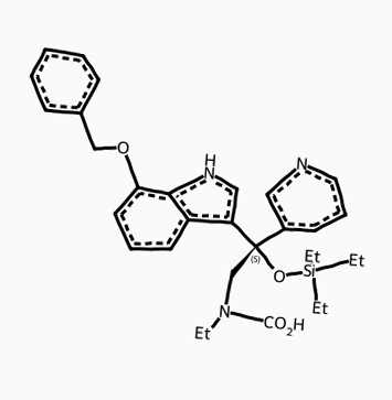 CCN(C[C@](O[Si](CC)(CC)CC)(c1cccnc1)c1c[nH]c2c(OCc3ccccc3)cccc12)C(=O)O